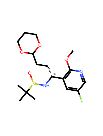 COc1ncc(F)cc1[C@@H](CCC1OCCCO1)N[S+]([O-])C(C)(C)C